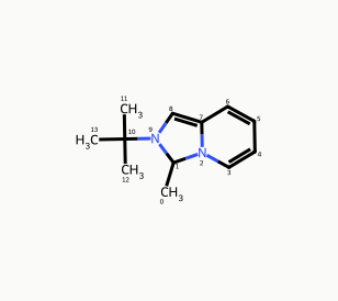 CC1N2C=CC=CC2=CN1C(C)(C)C